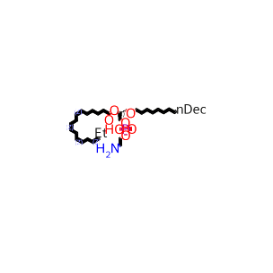 CC/C=C\C/C=C\C/C=C\C/C=C\CCCCC(=O)O[C@H](COCCCCCCCCCCCCCCCCCC)COP(=O)(O)OCCN